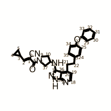 N#C/C(=C\C1CC1)C(=O)N1CC[C@@H](Nc2n[nH]c3nccc(CCc4ccc(Oc5ccccc5)cc4)c23)C1